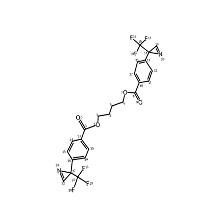 O=C(OCCCCOC(=O)c1ccc(C2(C(F)(F)F)C=N2)cc1)c1ccc(C2(C(F)(F)F)C=N2)cc1